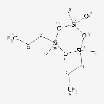 C[Si]1([O])O[Si](C)(CCC(F)(F)F)O[Si](C)(CCC(F)(F)F)O1